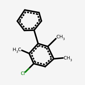 Cc1[c]c(Cl)c(C)c(-c2ccccc2)c1C